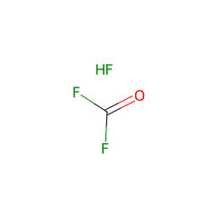 F.O=C(F)F